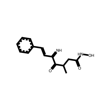 CC(CC(=O)NO)C(=O)C(=N)C=Cc1ccccc1